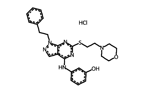 Cl.Oc1cccc(Nc2nc(SCCN3CCOCC3)nc3c2cnn3CCc2ccccc2)c1